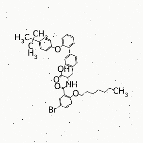 CCCCCCCOc1ccc(Br)cc1C(=O)NC(Cc1ccc(-c2ccccc2Oc2ccc(C(C)(C)C)cc2)cc1)C(=O)O